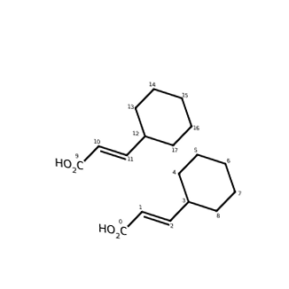 O=C(O)C=CC1CCCCC1.O=C(O)C=CC1CCCCC1